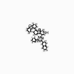 C1=C(C2=NC(c3ccccc3)NC(c3ccc4ccccc4c3)=N2)c2c(oc3c(-c4cccc5oc6ccccc6c45)cccc23)CN1